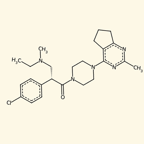 CCN(C)C[C@H](C(=O)N1CCN(c2nc(C)nc3c2CCC3)CC1)c1ccc(Cl)cc1